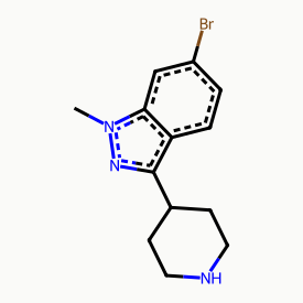 Cn1nc(C2CCNCC2)c2ccc(Br)cc21